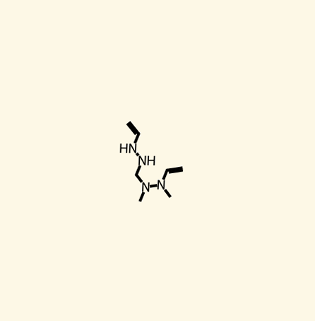 C=CNNCN(C)N(C)C=C